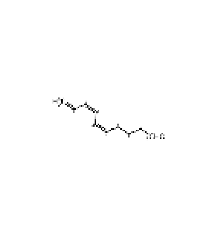 C=C/C=C\C=C/CCCC=O